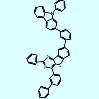 c1ccc(-c2cccc(-c3nc(-c4ccccc4)nc4c3sc3ccc(-c5cccc(-c6ccc7c8ccccc8n(-c8ccccc8)c7c6)c5)cc34)c2)cc1